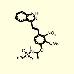 CCCS(=O)(=O)NC(C)Oc1ccc(/C=C/c2n[nH]c3ccccc23)c([N+](=O)[O-])c1OC